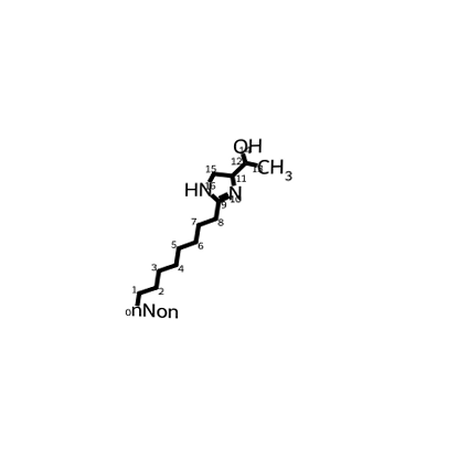 CCCCCCCCCCCCCCCCCC1=NC(C(C)O)CN1